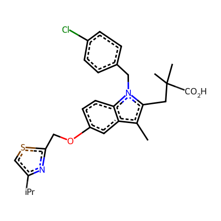 Cc1c(CC(C)(C)C(=O)O)n(Cc2ccc(Cl)cc2)c2ccc(OCc3nc(C(C)C)cs3)cc12